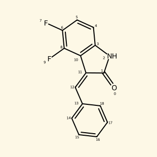 O=C1Nc2ccc(F)c(F)c2C1=Cc1ccccc1